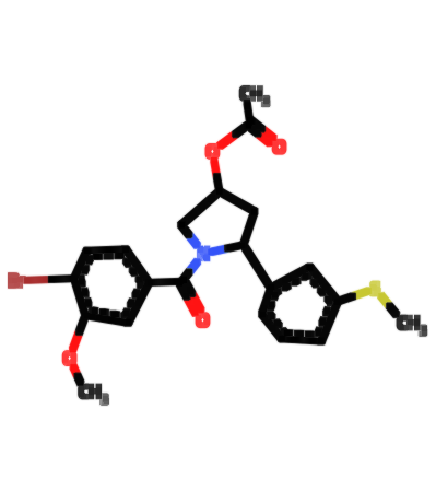 COc1cc(C(=O)N2CC(OC(C)=O)CC2c2cccc(SC)c2)ccc1Br